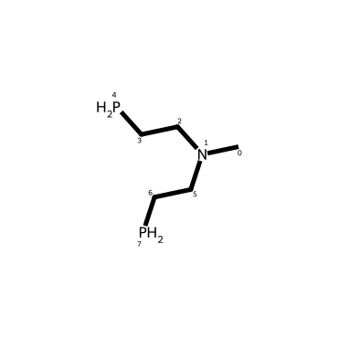 CN(CCP)CCP